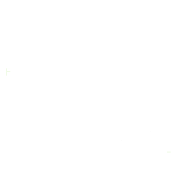 Cc1ccc(-c2ccc(F)cc2)c(C)c1F